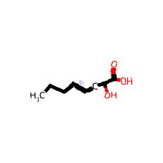 CCC/C=C/CC(O)C(=O)O